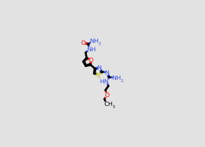 CCOCCNC(N)=Nc1nc(-c2ccc(CNC(N)=O)o2)cs1